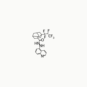 O=C(NNc1cccc2ncccc12)C12CC3CC(C1)CC(C(F)(F)C(F)C(F)(F)F)(C3)C2